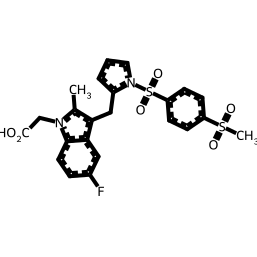 Cc1c(Cc2cccn2S(=O)(=O)c2ccc(S(C)(=O)=O)cc2)c2cc(F)ccc2n1CC(=O)O